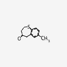 Cc1ccc2c(c1)CC(=O)CCS2